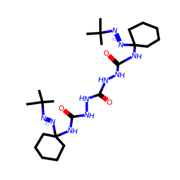 CC(C)(C)/N=N/C1(NC(=O)NNC(=O)NNC(=O)NC2(/N=N/C(C)(C)C)CCCCC2)CCCCC1